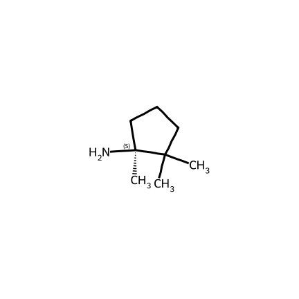 CC1(C)CCC[C@]1(C)N